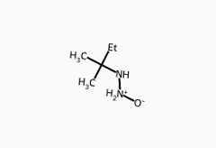 CCC(C)(C)N[NH2+][O-]